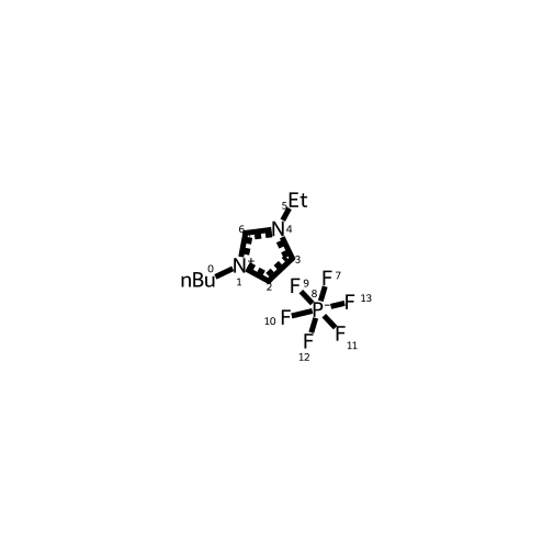 CCCC[n+]1ccn(CC)c1.F[P-](F)(F)(F)(F)F